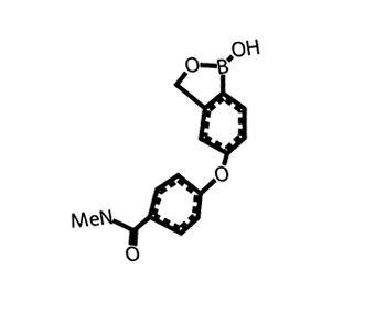 CNC(=O)c1ccc(Oc2ccc3c(c2)COB3O)cc1